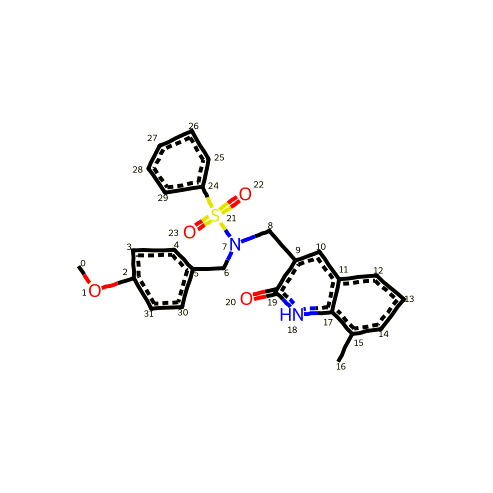 COc1ccc(CN(Cc2cc3cccc(C)c3[nH]c2=O)S(=O)(=O)c2ccccc2)cc1